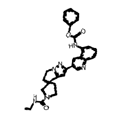 CCNC(=O)N1CCC2(CCn3nc(-c4cnc5cccc(NC(=O)Oc6ccccc6)c5c4)cc32)C1